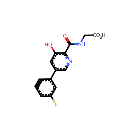 O=C(O)CNC(=O)c1ncc(-c2c#ccc(F)c2)cc1O